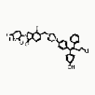 O=C1CCC(N2Cc3c(ccc(CN4CCN(c5ccc(C(=C(CCCl)c6ccccc6)c6ccc(O)cc6)cc5)CC4)c3F)C2=O)C(=O)N1